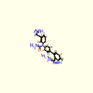 NCc1cccc(N(C(N)=O)c2ccc(-c3ccc(F)c4[nH]nc(N)c34)cc2)c1